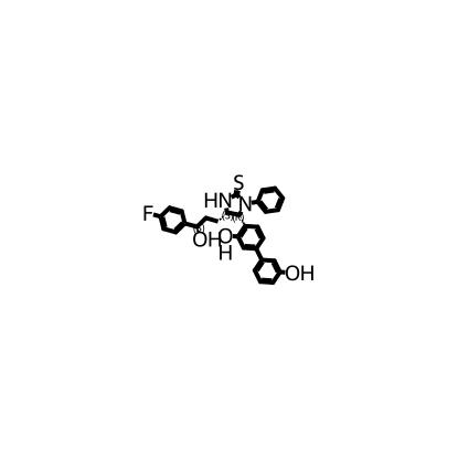 Oc1cccc(-c2ccc([C@@H]3[C@H](CC[C@H](O)c4ccc(F)cc4)NC(=S)N3c3ccccc3)c(O)c2)c1